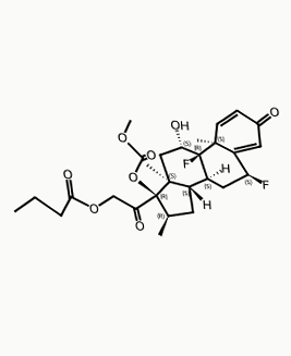 CCCC(=O)OCC(=O)[C@@]1(OC(=O)OC)[C@H](C)C[C@H]2[C@@H]3C[C@H](F)C4=CC(=O)C=C[C@]4(C)[C@@]3(F)[C@@H](O)C[C@@]21C